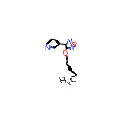 CCC#CCCOc1nonc1-c1cccnc1